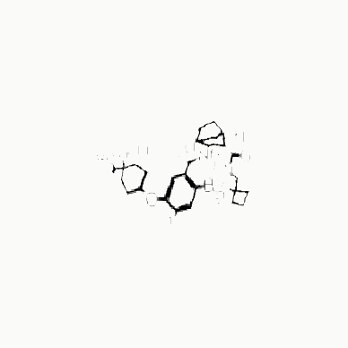 COc1cc(F)c(OC2CCC(OC)(C(=O)O)CC2)cc1C(=O)N[C@@H]1[C@H]2CC[C@H](C2)[C@@H]1C(=O)NCC1(C)CCC1